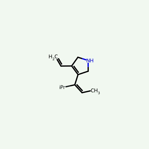 C=CC1=C(/C(=C\C)C(C)C)CNC1